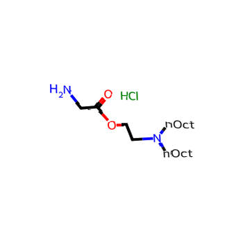 CCCCCCCCN(CCCCCCCC)CCOC(=O)CN.Cl